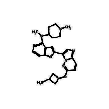 CN1CCC(N(C)c2nccc3oc(-c4cnc5ccc(OC6CC(N)C6)nn45)cc23)CC1